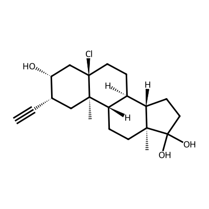 C#C[C@H]1C[C@]2(C)[C@H]3CC[C@@]4(C)[C@@H](CCC4(O)O)[C@@H]3CC[C@@]2(Cl)C[C@H]1O